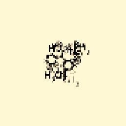 CCCCC1(CCCC)[C@H](O)[C@H](c2cccc([N+](=O)[O-])c2)c2cc(N(C)C)ccc2S(=O)(=O)N1C